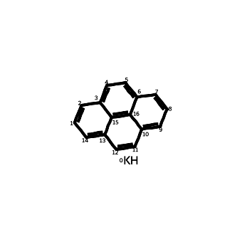 [KH].c1cc2ccc3cccc4ccc(c1)c2c34